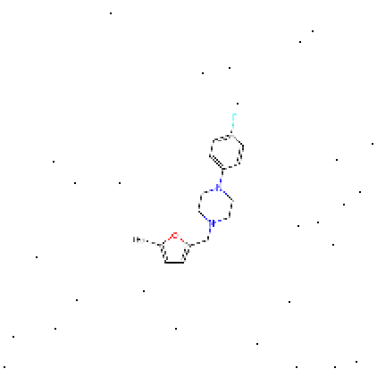 CC(C)(C)c1ccc(CN2CCN(c3ccc(F)cc3)CC2)o1